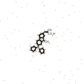 CC1c2cc(C=C(C#N)C(=O)O)ccc2-c2ccc(N(c3ccccc3)c3ccccc3)cc21